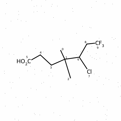 CC(C)(CCC(=O)O)C(Cl)CC(F)(F)F